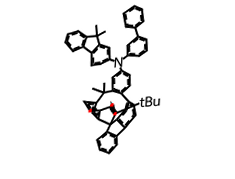 CC(C)(C)c1ccc2c(c1)C13c4ccccc4-c4ccc(cc41)-c1ccc(N(c4cccc(-c5ccccc5)c4)c4ccc5c(c4)C(C)(C)c4ccccc4-5)cc1C(C)(C)c1ccc-2c3c1